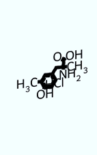 Cc1cc(CC(C)(N)C(=O)O)ccc1O.Cl